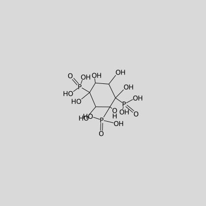 O=P(O)(O)C1(O)C(O)C(O)C(O)(P(=O)(O)O)C(O)(P(=O)(O)O)C1O